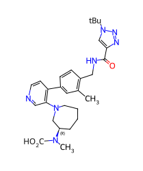 Cc1cc(-c2ccncc2N2CCCC[C@@H](N(C)C(=O)O)C2)ccc1CNC(=O)c1cn(C(C)(C)C)nn1